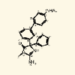 CC(=O)Nc1ccc(-c2cccc(C3(c4ccccc4)N=C(N)N(C)C3=O)c2)cc1